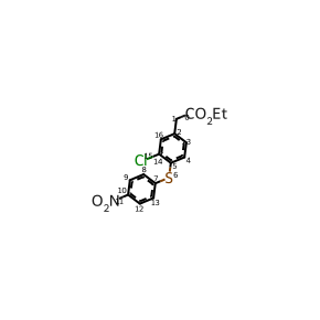 CCOC(=O)Cc1ccc(Sc2ccc([N+](=O)[O-])cc2)c(Cl)c1